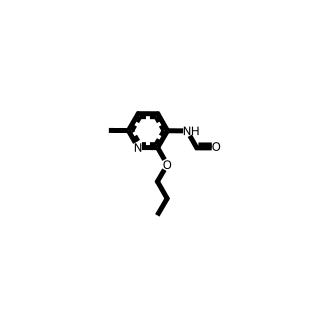 CCCOc1nc(C)ccc1NC=O